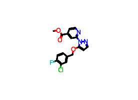 COC(=O)c1ccnc(-n2nccc2OCc2ccc(F)c(Cl)c2)c1